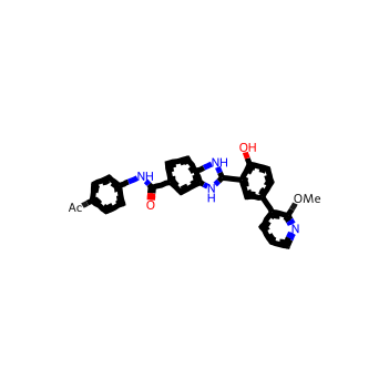 COc1ncccc1-c1ccc(O)c(C2Nc3ccc(C(=O)Nc4ccc(C(C)=O)cc4)cc3N2)c1